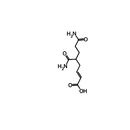 NC(=O)CCC(CC=CC(=O)O)C(N)=O